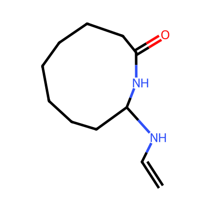 C=CNC1CCCCCCCC(=O)N1